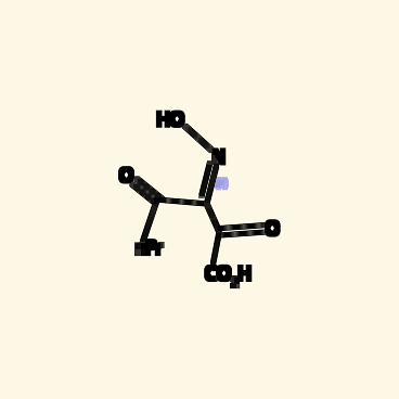 CCCC(=O)/C(=N\O)C(=O)C(=O)O